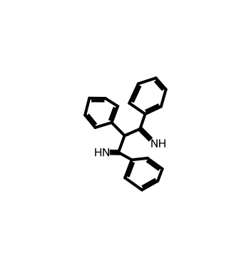 N=C([C](C(=N)c1ccccc1)c1ccccc1)c1ccccc1